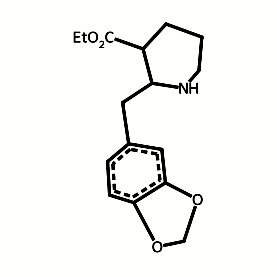 CCOC(=O)C1CCCNC1Cc1ccc2c(c1)OCO2